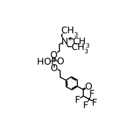 CC[N+](CC)(CC)CCOP(=O)(O)OCCc1ccc(C(=O)C(F)C(F)(F)F)cc1